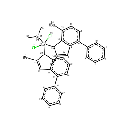 CC1=Cc2c(-c3ccccc3)ccc(C(C)(C)C)c2[CH]1[Zr]([Cl])([Cl])([CH]1C(C(C)C)=Cc2c(-c3ccccc3)cccc21)[SiH](C)C